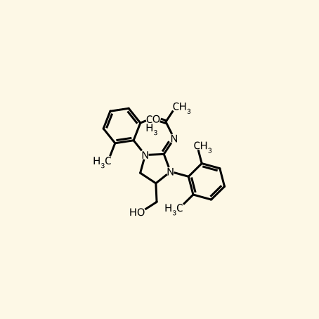 CC(=O)N=C1N(c2c(C)cccc2C)CC(CO)N1c1c(C)cccc1C